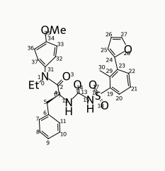 CCN(C(=O)[C@H](Cc1ccccc1)NC(=O)NS(=O)(=O)c1cccc(-c2ccco2)c1C)c1ccc(OC)cc1